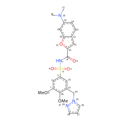 COc1cc(S(=O)(=O)NC(=O)c2cc3ccc(N(C)C)cc3o2)cc(Cn2cccn2)c1OC